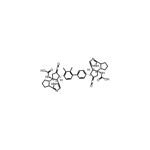 Cc1c(-c2ccc([C@H]3C(=C=O)C[C@]4(NC(=O)O)[C@@H]3c3cnc([nH]3)C3CCCN34)cc2)ccc([C@H]2C(=C=O)C[C@]3(NC(=O)O)[C@@H]2c2cnc([nH]2)C2CCCN23)c1C